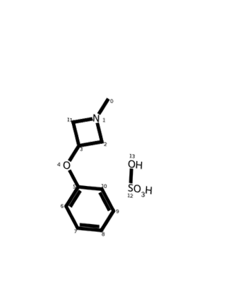 CN1CC(Oc2ccccc2)C1.O=S(=O)(O)O